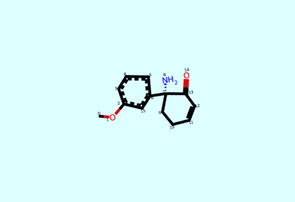 COc1cccc([C@]2(N)CCC=CC2=O)c1